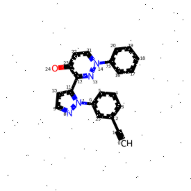 C#Cc1cccc(-n2nccc2-c2nn(-c3ccccc3)ccc2=O)c1